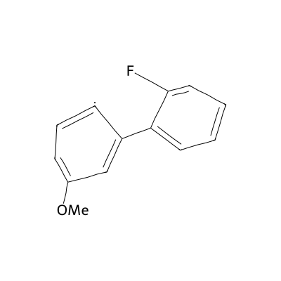 COc1cc[c]c(-c2ccccc2F)c1